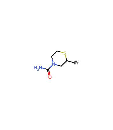 CC(C)C1CN(C(N)=O)CCS1